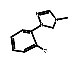 CN1C=NN(c2ccccc2Cl)C1